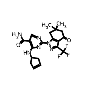 CC1(C)CC(=O)c2c(C(F)(F)F)nn(-c3ncc(C(N)=O)c(NC4CC=CC4)n3)c2C1